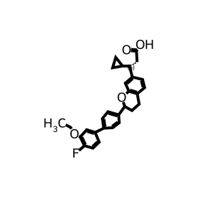 CCOc1cc(-c2ccc(C3CCc4ccc([C@@H](CC(=O)O)C5CC5)cc4O3)cc2)ccc1F